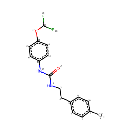 O=C(NCCc1ccc(C(F)(F)F)cc1)Nc1ccc(OC(F)F)cc1